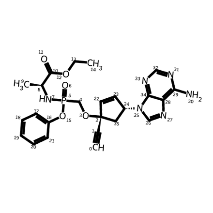 C#C[C@@]1(OCP(=O)(N[C@@H](C)C(=O)OCC)Oc2ccccc2)C=C[C@H](n2cnc3c(N)ncnc32)C1